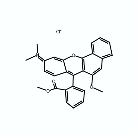 COC(=O)c1ccccc1-c1c2ccc(=[N+](C)C)cc-2oc2c1c(OC)cc1ccccc12.[Cl-]